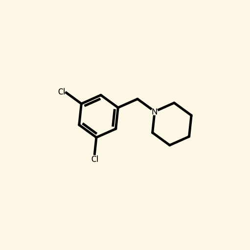 Clc1cc(Cl)cc(CN2CCCCC2)c1